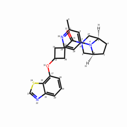 Cc1cc(N2[C@@H]3CC[C@H]2CN(C(=O)C2CC(Oc4cccc5ncsc45)C2)C3)ccn1